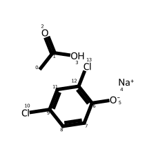 CC(=O)O.[Na+].[O-]c1ccc(Cl)cc1Cl